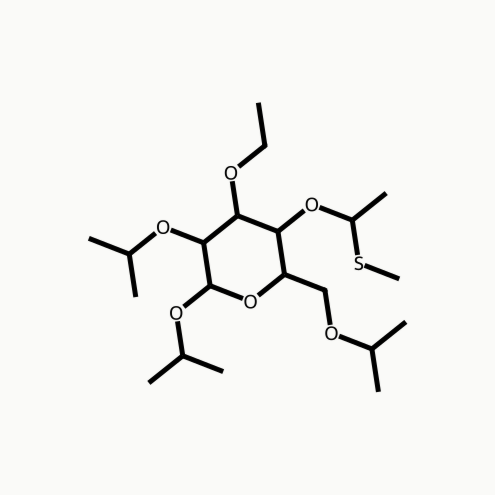 CCOC1C(OC(C)SC)C(COC(C)C)OC(OC(C)C)C1OC(C)C